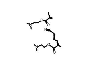 C=C(C)C(=O)OCCN(C)C.CC(=CC=CC#N)C(=O)OCCN(C)C